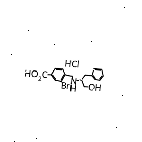 Cl.O=C(O)c1ccc(CNC(CO)Cc2ccccc2)c(Br)c1